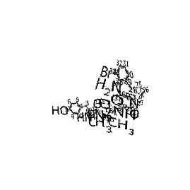 CN[C@@H](Cc1ccc(O)cc1)C(=O)N[C@H](C)C(=O)NCC(=O)N(CC1CC1)[C@@H](Cc1cccc(Br)c1)C(N)=O